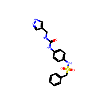 O=C(NCc1cn[nH]c1)Nc1ccc(NS(=O)(=O)Cc2ccccc2)cc1